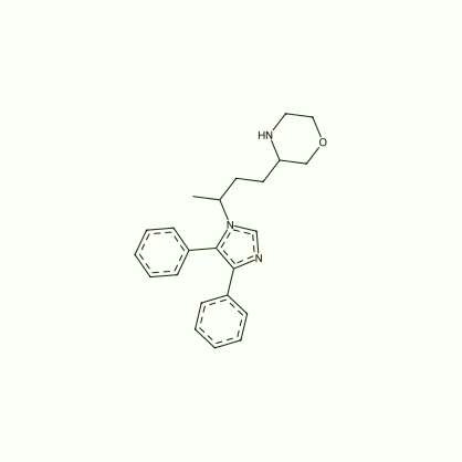 CC(CCC1COCCN1)n1cnc(-c2ccccc2)c1-c1ccccc1